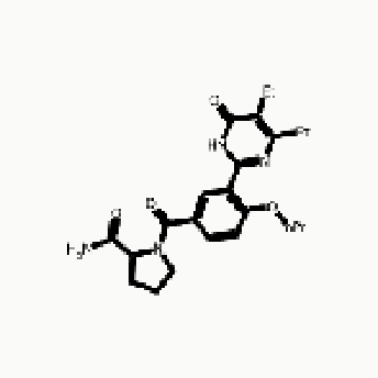 CCCOc1ccc(C(=O)N2CCCC2C(N)=O)cc1-c1nc(CC)c(CC)c(=O)[nH]1